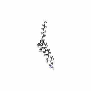 C/C=C\CC1CCC(c2ccc(-c3ccc(OCCCCCCCCC)c(F)c3F)cc2)CC1